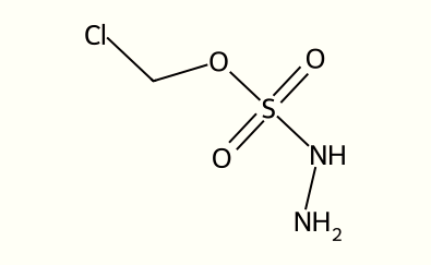 NNS(=O)(=O)OCCl